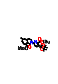 COC(=O)C1=C2CN(c3ccc(B4OC(C)(C)C(C)(C)O4)c(C(=O)OC(C)(C)C)n3)CCC2=CC(C)C=C1